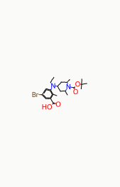 CCN(c1cc(Br)cc(C(=O)O)c1C)C1CC(C)N(C(=O)OC(C)(C)C)[C@H](C)C1